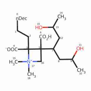 CCCCCCCCCCCCC1(C(=O)[O-])C(C(=O)O)(C(CC(C)O)CC(C)O)C[N+]1(C)C